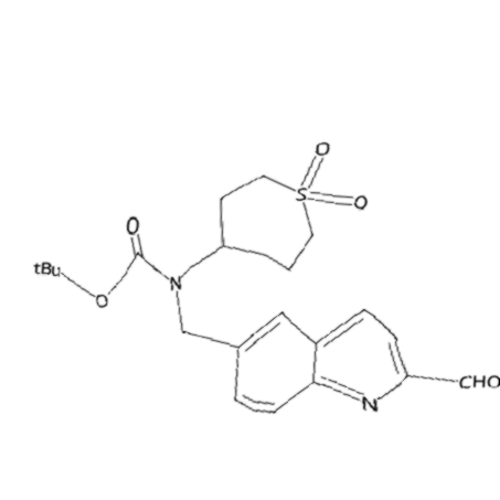 CC(C)(C)OC(=O)N(Cc1ccc2nc(C=O)ccc2c1)C1CCS(=O)(=O)CC1